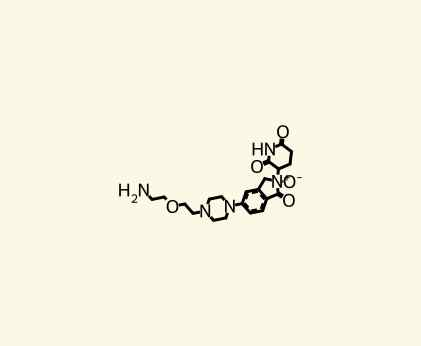 NCCOCCN1CCN(c2ccc3c(c2)C[N+]([O-])(C2CCC(=O)NC2=O)C3=O)CC1